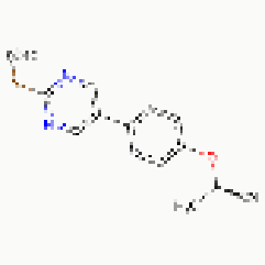 CCCCCCCCCCSc1ncc(-c2ccc(O[C@H](C)C#N)cc2)cn1